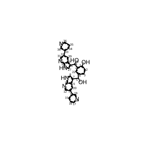 Oc1ccc(C(O)c2c[nH]c3ncc(-c4cccnc4)cc23)cc1C(O)c1c[nH]c2ncc(-c3cccnc3)cc12